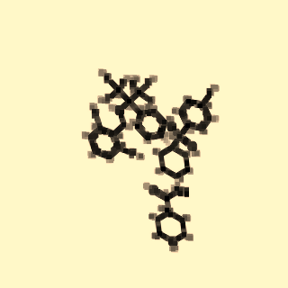 O=C(N[C@H]1CC[C@](c2ccc(C(OCc3c(F)cccc3F)(C(F)(F)F)C(F)(F)F)cc2)(S(=O)(=O)c2ccc(F)cc2)CC1)N1CCOCC1